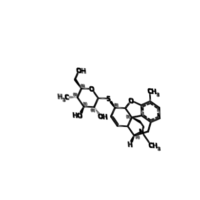 Cc1ccc2c3c1OC1[C@H](SC4O[C@H](CO)[C@@H](C)[C@H](O)[C@H]4O)C=CC4[C@@H](C2)N(C)CC[C@@]341